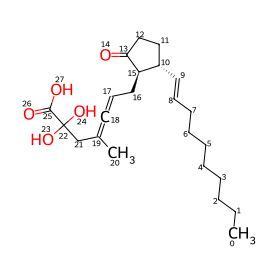 CCCCCCCCC=C[C@H]1CCC(=O)[C@@H]1CC=C=C(C)CC(O)(O)C(=O)O